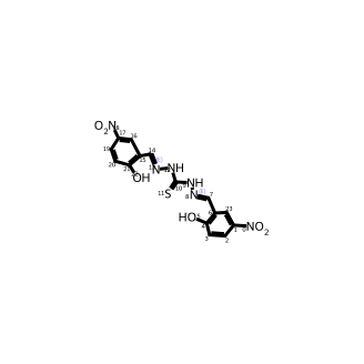 O=[N+]([O-])c1ccc(O)c(/C=N/NC(=S)N/N=C/c2cc([N+](=O)[O-])ccc2O)c1